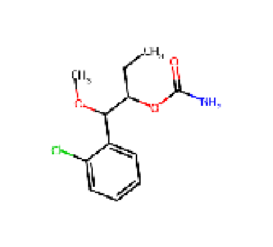 CCC(OC(N)=O)C(OC)c1ccccc1Cl